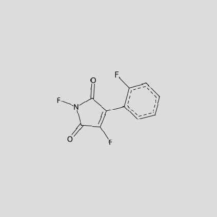 O=C1C(F)=C(c2ccccc2F)C(=O)N1F